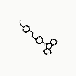 O=Cc1ccc(C=Cc2ccc(-n3c4ccccc4c4ccccc43)cc2)cc1